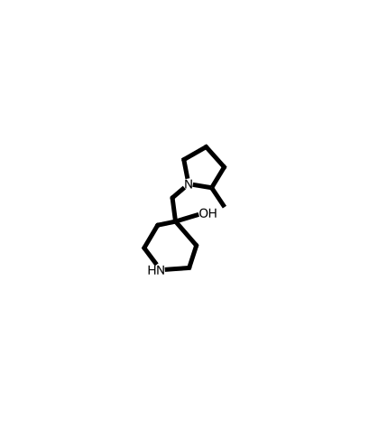 CC1CCCN1CC1(O)CCNCC1